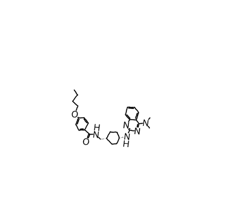 CCCCOc1ccc(C(=O)NC[C@H]2CC[C@@H](Nc3nc(N(C)C)c4ccccc4n3)CC2)cc1